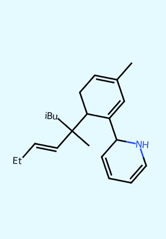 CCC=CC(C)(C(C)CC)C1CC=C(C)C=C1C1C=CC=CN1